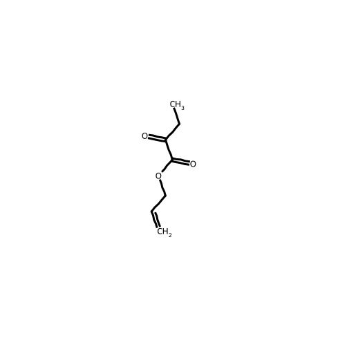 C=CCOC(=O)C(=O)CC